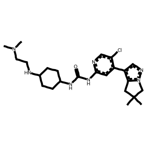 CN(C)CCNC1CCC(NC(=O)Nc2cc(-c3cnn4c3CC(C)(C)C4)c(Cl)cn2)CC1